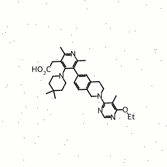 CCOc1ncnc(N2CCc3cc(-c4c(C)nc(C)c(CC(=O)O)c4N4CCC(C)(C)CC4)ccc3C2)c1C